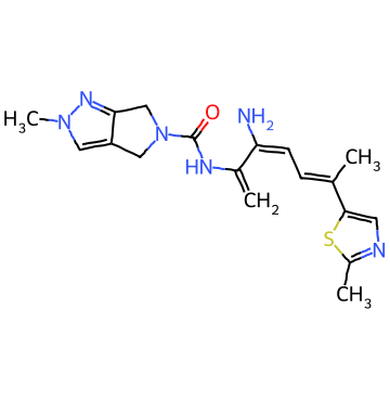 C=C(NC(=O)N1Cc2cn(C)nc2C1)/C(N)=C\C=C(/C)c1cnc(C)s1